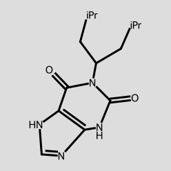 CC(C)CC(CC(C)C)n1c(=O)[nH]c2nc[nH]c2c1=O